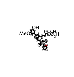 COc1cc(O)cc(-c2cc(CCCC(C(=O)O)C(=O)O)c(/C=C3\SC(=S)N(C4CC5CCC4C5)C3=O)o2)c1